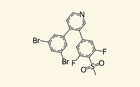 CS(=O)(=O)c1c(F)cc(-c2cnccc2-c2cc(Br)cc(Br)c2)cc1F